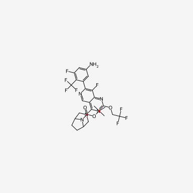 CC(C)(C)OC(=O)N1C2CCC1CN(c1nc(OCC(F)(F)F)nc3c(F)c(-c4cc(N)cc(F)c4C(F)(F)F)ncc13)C2